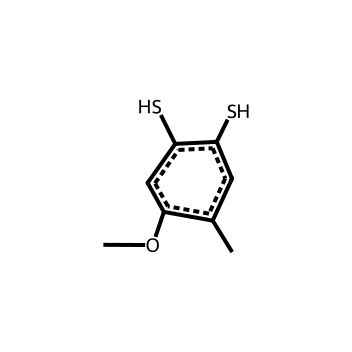 COc1cc(S)c(S)cc1C